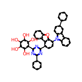 Oc1c(O)c(O)c(-c2nc(-c3ccccc3)nc(-c3ccc(-n4c5ccccc5c5cc(-c6ccccc6)ccc54)c4oc5ccccc5c34)n2)c(O)c1O